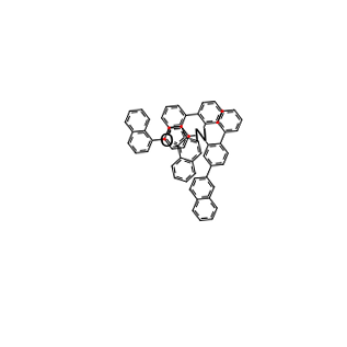 c1ccc(-c2ccc(-c3ccc4ccccc4c3)cc2N(c2ccc(-c3cccc4ccccc34)cc2)c2ccccc2-c2cccc3oc4c5ccccc5ccc4c23)cc1